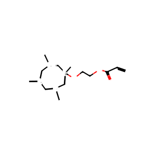 C=CC(=O)OCCO[Si]1(C)C[SiH](C)C[SiH](C)C[SiH](C)C1